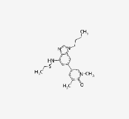 CCCCn1cnc2c(NSCC)cc(-c3cc(C)c(=O)n(C)c3)cc21